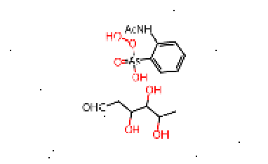 CC(=O)Nc1ccccc1[As](=O)(O)OO.CC(O)C(O)C(O)CC=O